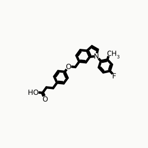 Cc1cc(F)ccc1-n1ccc2ccc(COc3ccc(CCC(=O)O)cc3)cc21